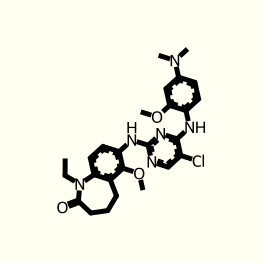 CCN1C(=O)CCCc2c1ccc(Nc1ncc(Cl)c(Nc3ccc(N(C)C)cc3OC)n1)c2OC